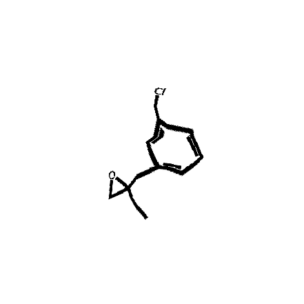 CC1(c2cccc(Cl)c2)CO1